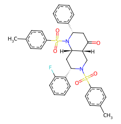 Cc1ccc(S(=O)(=O)N2C[C@H]3C(=O)C[C@@H](c4ccccc4)N(S(=O)(=O)c4ccc(C)cc4)[C@H]3C[C@H]2c2ccccc2F)cc1